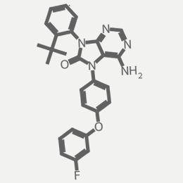 CC(C)(C)c1cc[c]cc1-n1c(=O)n(-c2ccc(Oc3cccc(F)c3)cc2)c2c(N)ncnc21